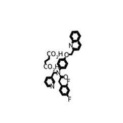 O=C(Cc1ccc(F)cc1F)N(Cc1cccnc1)c1ccc(OCc2ccc3ccccc3n2)cc1.O=C(O)CCC(=O)O